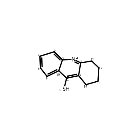 Sc1c2c(nc3ccccc13)CCCC2